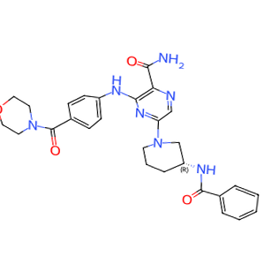 NC(=O)c1ncc(N2CCC[C@@H](NC(=O)c3ccccc3)C2)nc1Nc1ccc(C(=O)N2CCOCC2)cc1